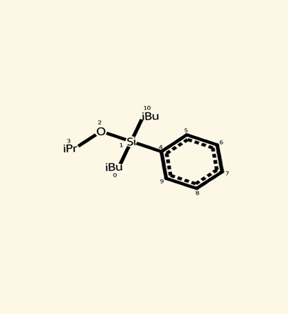 CCC(C)[Si](OC(C)C)(c1ccccc1)C(C)CC